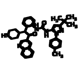 Cc1ccc(-n2nc(C(C)(C)C)cc2NC(=O)Nc2ccccc2C(C(=O)c2cnc3ccccc3c2)C2CCNCC2)cc1